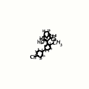 Cc1ccc(-c2ccc(Cl)cc2)cc1C1=C(O)[C@H]2CC[C@H](C2)C1=O